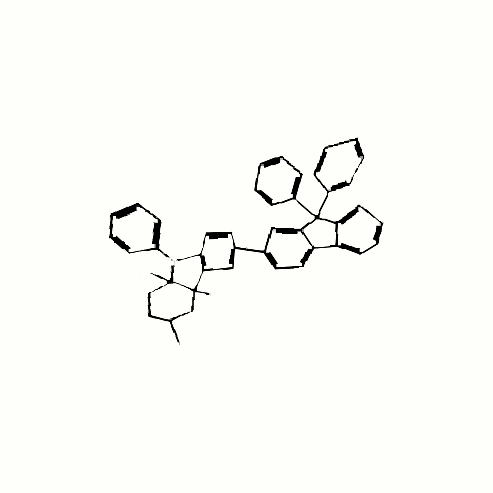 CCC1CCC2(C)N(c3ccccc3)c3ccc(-c4ccc5c(c4)C(c4ccccc4)(c4ccccc4)c4ccccc4-5)cc3C2(C)C1